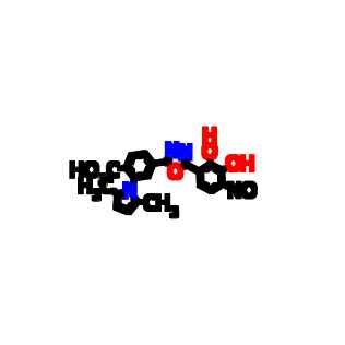 Cc1ccc(C)n1-c1cc(-c2nnc(-c3ccc(N=O)c(O)c3O)o2)ccc1C(=O)O